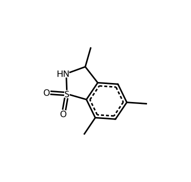 Cc1cc(C)c2c(c1)C(C)NS2(=O)=O